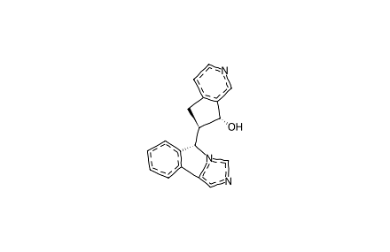 O[C@H]1c2cnccc2C[C@@H]1[C@H]1c2ccccc2-c2cncn21